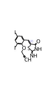 C#CCOc1c(I)cc(I)cc1/C=C1\SC(=N)NC1=O